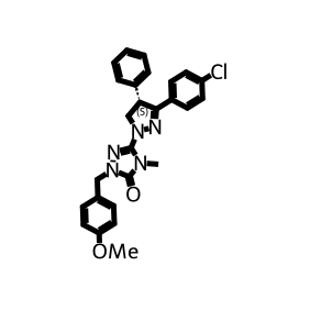 COc1ccc(Cn2nc(N3C[C@H](c4ccccc4)C(c4ccc(Cl)cc4)=N3)n(C)c2=O)cc1